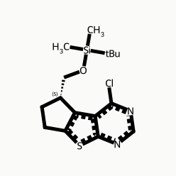 CC(C)(C)[Si](C)(C)OC[C@H]1CCc2sc3ncnc(Cl)c3c21